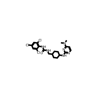 CN(C)c1ccnc(NC2CCC(CNC(=O)Nc3c(Cl)cc(Cl)cc3Cl)CC2)n1